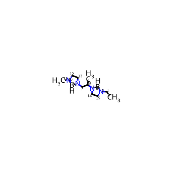 CCN1BN(C(C)CN2BN(C)CC2)CC1